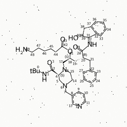 CC(C)(C)NC(=O)[C@@H]1CN(Cc2cccnc2)CCN1C[C@H](C[C@@H](Cc1ccccc1)C(=O)N[C@H]1c2ccccc2C[C@H]1O)OC(=O)CCCCCN